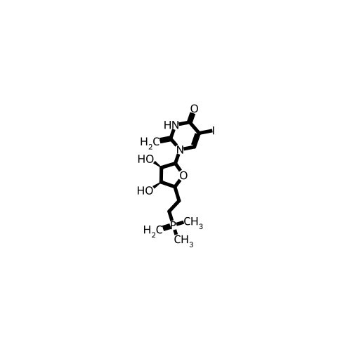 C=C1NC(=O)C(I)=CN1C1OC(CCP(=C)(C)C)[C@@H](O)[C@H]1O